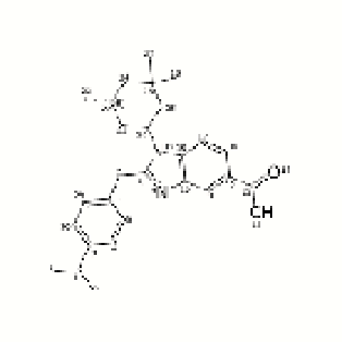 CC(C)c1ccc(Cc2nc3cc(C(=O)O)ccc3n2C2C[C@H](C)CC(C)(C)C2)cc1